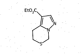 CCOC(=O)c1cnn2c1CCSC2